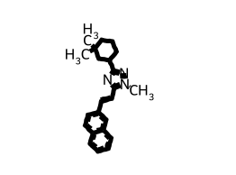 Cn1nc(C2CCCC(C)(C)C2)nc1C=Cc1ccc2ccccc2c1